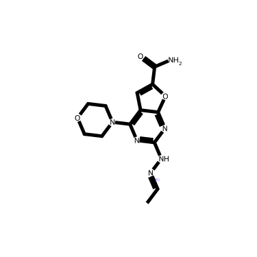 C/C=N/Nc1nc(N2CCOCC2)c2cc(C(N)=O)oc2n1